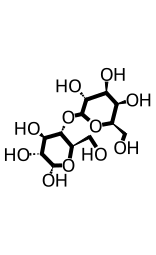 OC[C@H]1OC(O[C@H]2[C@H](O)[C@@H](O)[C@@H](O)O[C@@H]2CO)[C@H](O)[C@@H](O)[C@H]1O